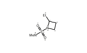 CCC1CCN1S(=O)(=O)NC